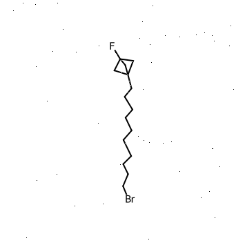 FC12CC(CCCCCCCCCCBr)(C1)C2